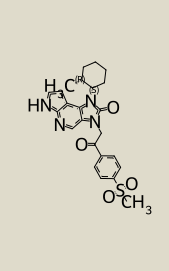 C[C@@H]1CCCC[C@@H]1n1c(=O)n(CC(=O)c2ccc(S(C)(=O)=O)cc2)c2cnc3[nH]ccc3c21